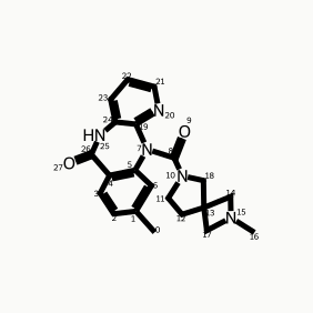 Cc1ccc2c(c1)N(C(=O)N1CCC3(CN(C)C3)C1)c1ncccc1NC2=O